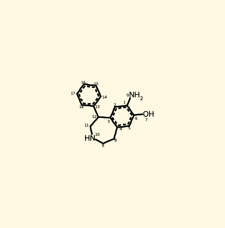 Nc1cc2c(cc1O)CCNCC2c1ccccc1